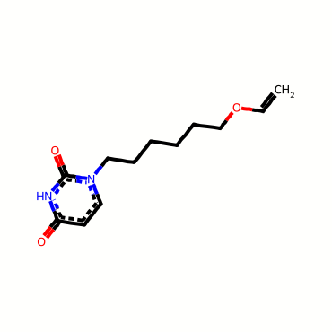 C=COCCCCCCn1ccc(=O)[nH]c1=O